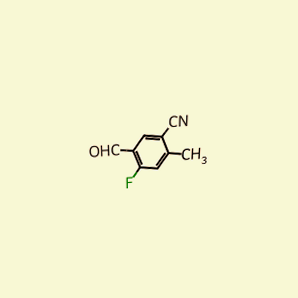 Cc1cc(F)c(C=O)cc1C#N